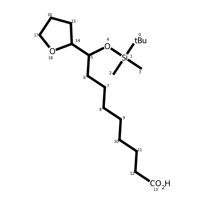 CC(C)(C)[Si](C)(C)OC(CCCCCCCC(=O)O)C1CCCO1